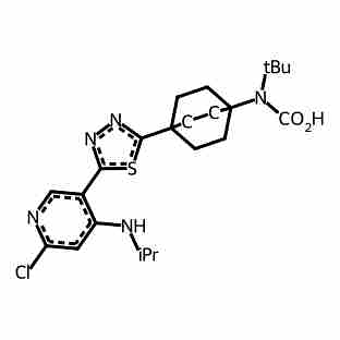 CC(C)Nc1cc(Cl)ncc1-c1nnc(C23CCC(N(C(=O)O)C(C)(C)C)(CC2)CC3)s1